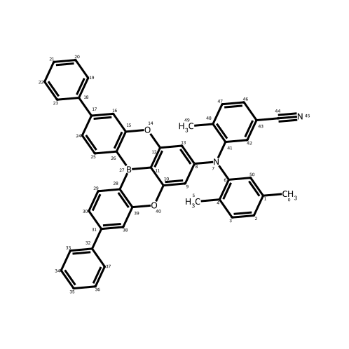 Cc1ccc(C)c(N(c2cc3c4c(c2)Oc2cc(-c5ccccc5)ccc2B4c2ccc(-c4ccccc4)cc2O3)c2cc(C#N)ccc2C)c1